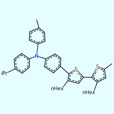 CCCCCCc1cc(-c2sc(C)cc2CCCCCC)sc1-c1ccc(N(c2ccc(C)cc2)c2ccc(C(C)C)cc2)cc1